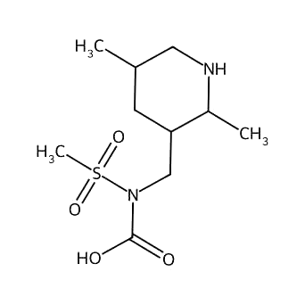 CC1CNC(C)C(CN(C(=O)O)S(C)(=O)=O)C1